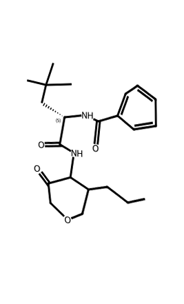 CCCC1COCC(=O)C1NC(=O)[C@H](CC(C)(C)C)NC(=O)c1ccccc1